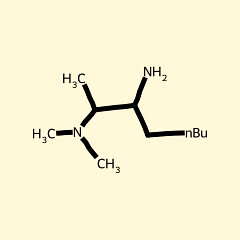 CCCCCC(N)C(C)N(C)C